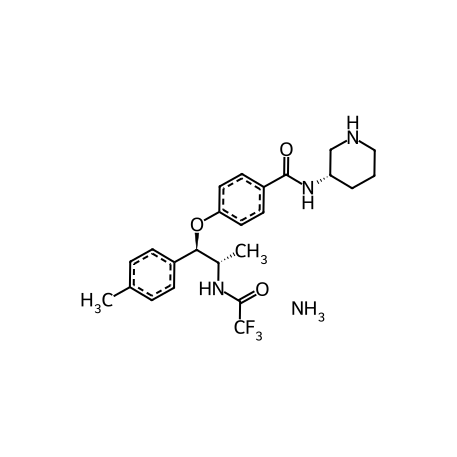 Cc1ccc([C@@H](Oc2ccc(C(=O)N[C@H]3CCCNC3)cc2)[C@H](C)NC(=O)C(F)(F)F)cc1.N